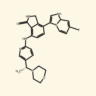 C[C@H](c1ccc(Nc2ccc(C3=CNC4C=C(F)C=CN34)c3c2C(=O)NC3)nc1)N1CCOCC1